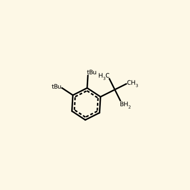 BC(C)(C)c1cccc(C(C)(C)C)c1C(C)(C)C